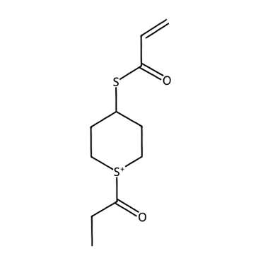 C=CC(=O)SC1CC[S+](C(=O)CC)CC1